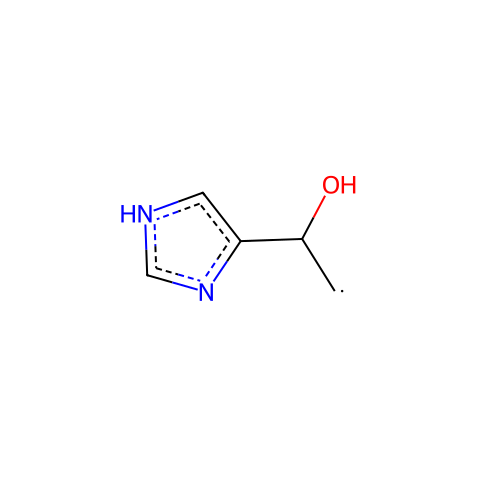 [CH2]C(O)c1c[nH]cn1